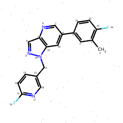 Cc1cc(-c2cnc3cnn(Cc4ccc(F)nc4)c3c2)ccc1F